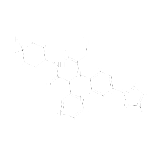 O=C(NC1CCC(F)(F)CC1)C(c1cnccn1)N(C(=O)CCl)c1ccc(-c2ccno2)cc1